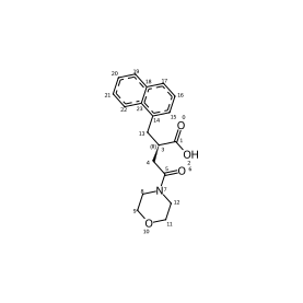 O=C(O)[C@@H](CC(=O)N1CCOCC1)Cc1cccc2ccccc12